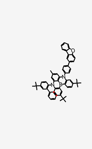 Cc1cc2c3c(c1)N(c1ccc(C(C)(C)C)cc1-c1ccccc1)c1ccc(C(C)(C)C)cc1B3c1ccc(C(C)(C)C)cc1N2c1ccc(-c2ccc3oc4ccccc4c3c2)cc1